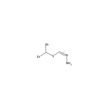 CCC(S/C=N\N)C(C)C